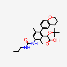 CCCNC(=O)Nc1cc(C)c(-c2ccc3c(c2)CCCO3)c(C(OC(C)(C)C)C(=O)O)c1C